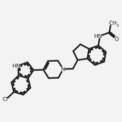 CC(=O)Nc1cccc2c1CCC2CN1CC=C(c2c[nH]c3cc(Cl)ccc23)CC1